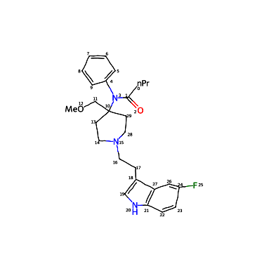 CCCC(=O)N(c1ccccc1)C1(COC)CCN(CCc2c[nH]c3ccc(F)cc23)CC1